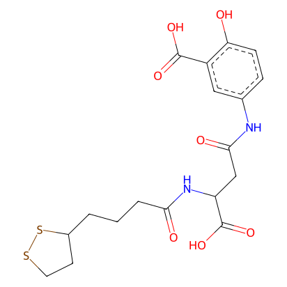 O=C(CC(NC(=O)CCCC1CCSS1)C(=O)O)Nc1ccc(O)c(C(=O)O)c1